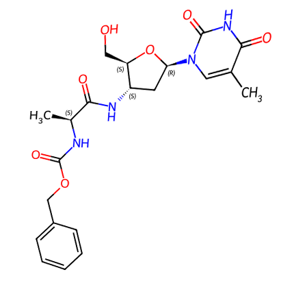 Cc1cn([C@H]2C[C@H](NC(=O)[C@H](C)NC(=O)OCc3ccccc3)[C@@H](CO)O2)c(=O)[nH]c1=O